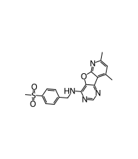 Cc1cc(C)c2c(n1)oc1c(NCc3ccc(S(C)(=O)=O)cc3)ncnc12